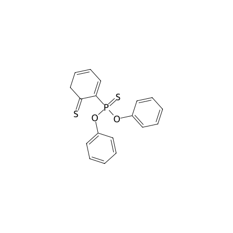 S=C1CC=CC=C1P(=S)(Oc1ccccc1)Oc1ccccc1